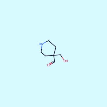 O=CC1(CO)CCNCC1